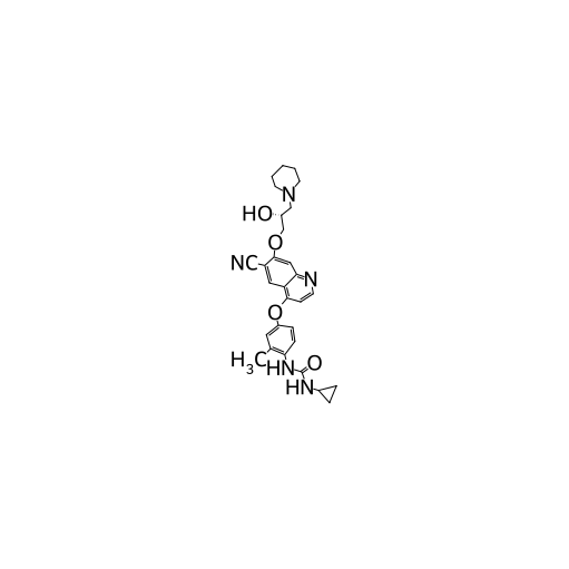 Cc1cc(Oc2ccnc3cc(OC[C@H](O)CN4CCCCC4)c(C#N)cc23)ccc1NC(=O)NC1CC1